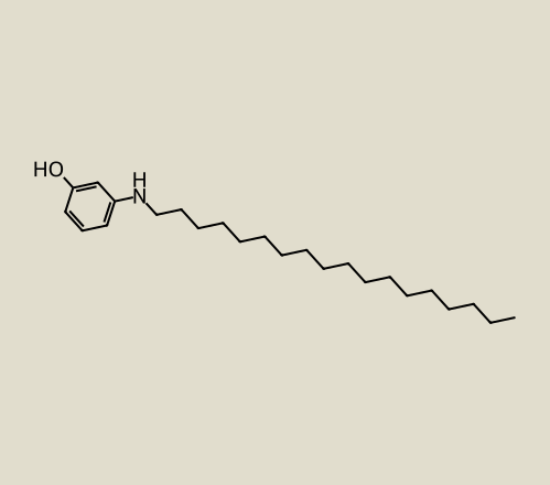 CCCCCCCCCCCCCCCCCCNc1cccc(O)c1